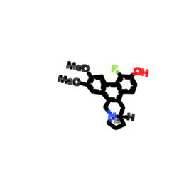 COc1cc2c3c(c4ccc(O)c(F)c4c2cc1OC)C[C@@H]1CCCN1C3